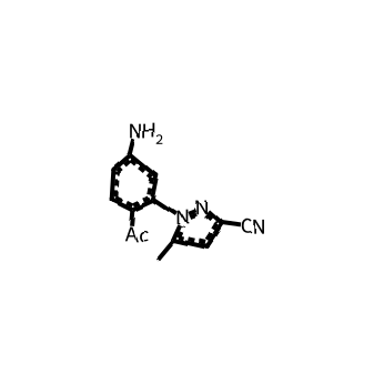 CC(=O)c1ccc(N)cc1-n1nc(C#N)cc1C